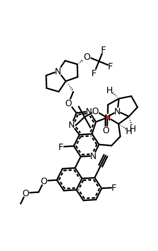 C#Cc1c(F)ccc2cc(OCOC)cc(-c3nc4c5c(nc(OC[C@]67CCCN6C[C@H](OC(F)(F)F)C7)nc5c3F)N3C[C@H]5CC[C@@H]([C@H]3CC4)N5C(=O)OC(C)(C)C)c12